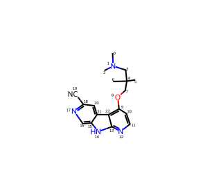 CN(C)CC(C)(C)COc1ccnc2[nH]c3cnc(C#N)cc3c12